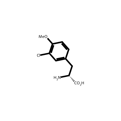 COc1ccc(C[C@@H](N)C(=O)O)cc1Cl